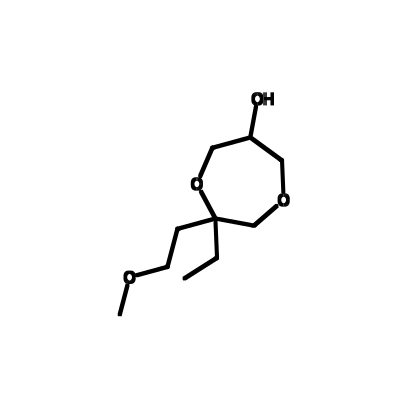 CCC1(CCOC)COCC(O)CO1